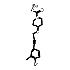 Cc1cc(C#CCOC2CCN(C(=O)OC(C)(C)C)CC2)ccc1Br